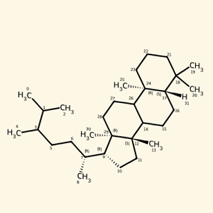 CC(C)C(C)CC[C@@H](C)[C@H]1CC[C@@]2(C)C3CC[C@H]4C(C)(C)CCC[C@]4(C)C3CC[C@]12C